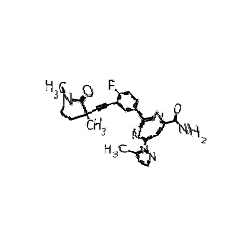 Cc1ccnn1-c1cc(C(N)=O)nc(-c2ccc(F)c(C#C[C@]3(C)CCN(C)C3=O)c2)n1